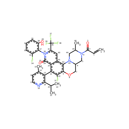 C=CC(=O)N1CC2COc3c(F)c(-c4c(C)ccnc4C(C)C)c4c(=O)n(-c5c(O)cccc5F)c(C(F)(F)F)cc4c3N2CC1C